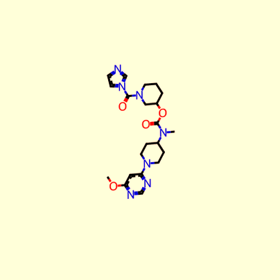 COc1cc(N2CCC(N(C)C(=O)OC3CCCN(C(=O)n4ccnc4)C3)CC2)ncn1